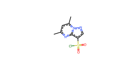 Cc1cc(C)n2ncc(S(=O)(=O)Cl)c2n1